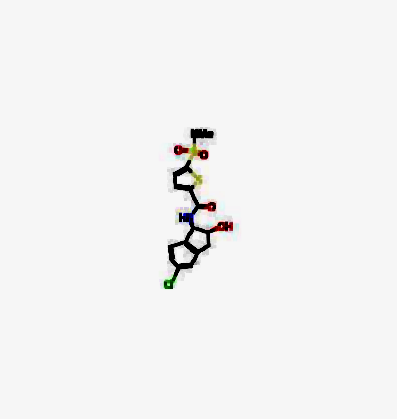 CNS(=O)(=O)c1ccc(C(=O)N[C@@H]2c3ccc(Cl)cc3C[C@@H]2O)s1